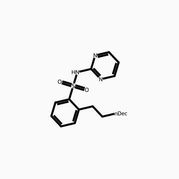 CCCCCCCCCCCCc1ccccc1S(=O)(=O)Nc1ncccn1